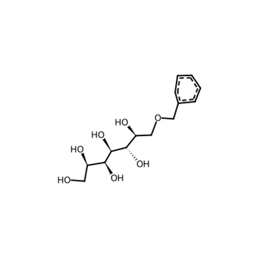 OC[C@@H](O)[C@H](O)[C@@H](O)[C@@H](O)[C@@H](O)COCc1ccccc1